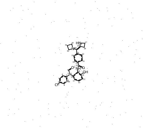 O=CN(c1ccc(Cl)cn1)c1cccc(O)c1NC(=O)c1ccc(C(=C2CCN2)N2CCC2)cc1